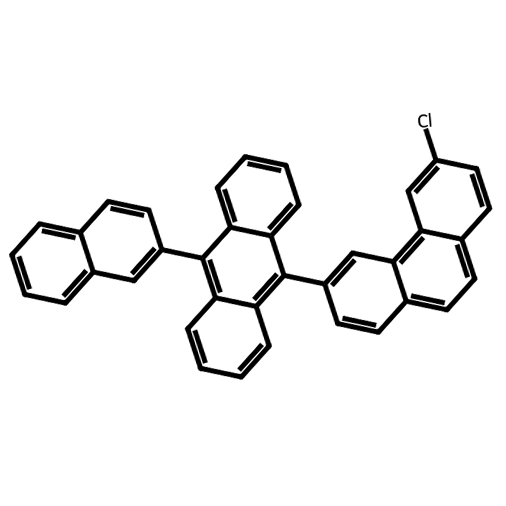 Clc1ccc2ccc3ccc(-c4c5ccccc5c(-c5ccc6ccccc6c5)c5ccccc45)cc3c2c1